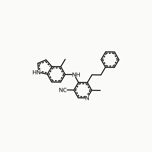 Cc1ncc(C#N)c(Nc2ccc3[nH]ccc3c2C)c1CCc1ccccc1